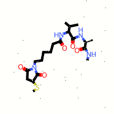 CNC(=O)[C@H](C)NC(=O)C(NC(=O)CCCCCN1C(=O)CC(SC)C1=O)C(C)C